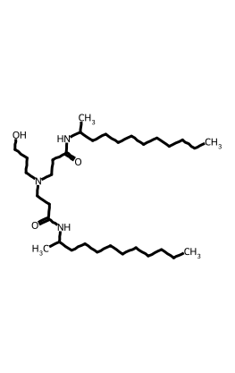 CCCCCCCCCCC(C)NC(=O)CCN(CCCO)CCC(=O)NC(C)CCCCCCCCCC